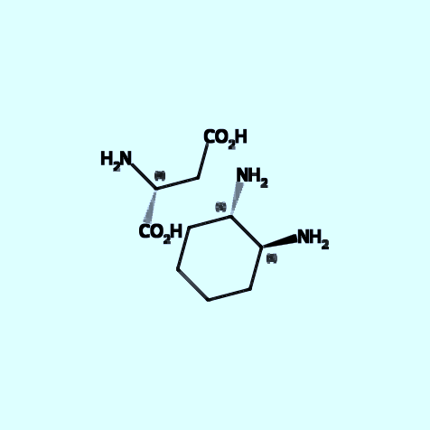 N[C@H](CC(=O)O)C(=O)O.N[C@H]1CCCC[C@@H]1N